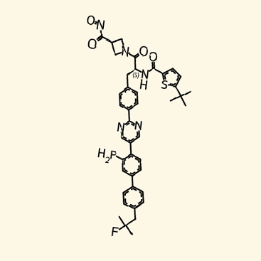 CC(C)(F)Cc1ccc(-c2ccc(-c3cnc(-c4ccc(C[C@H](NC(=O)c5ccc(C(C)(C)C)s5)C(=O)N5CC(C(=O)N=O)C5)cc4)nc3)c(P)c2)cc1